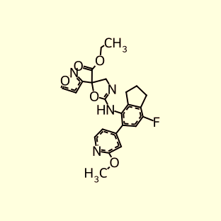 CCOC(=O)C1(c2ccon2)CN=C(Nc2c(-c3ccnc(OC)c3)cc(F)c3c2CCC3)O1